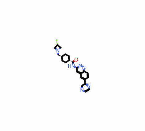 O=C(Nc1cc2cc(-c3cnccn3)ccc2nn1)[C@H]1CC[C@H](CN2CC(F)C2)CC1